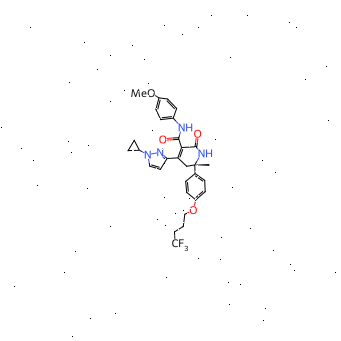 COc1ccc(NC(=O)C2=C(c3ccn(C4CC4)n3)C[C@@](C)(c3ccc(OCCCC(F)(F)F)cc3)NC2=O)cc1